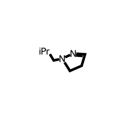 CC(C)CN1CCC=N1